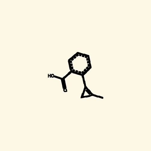 CC1=C(c2ccccc2C(=O)O)C1